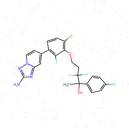 CC(O)(c1ccc(Cl)cc1)C(F)(F)CCOc1c(Cl)ccc(-c2ccn3nc(N)nc3c2)c1F